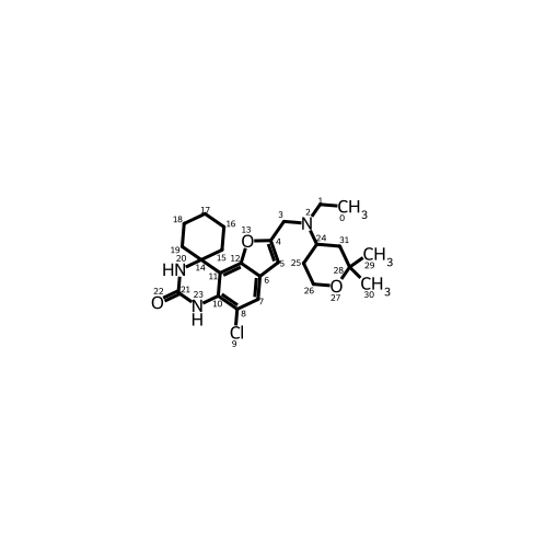 CCN(Cc1cc2cc(Cl)c3c(c2o1)C1(CCCCC1)NC(=O)N3)C1CCOC(C)(C)C1